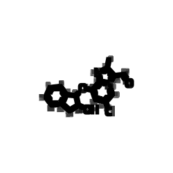 Cc1nc2c(OC3c4ccccc4CC3O)cc(Cl)cn2c1C=O